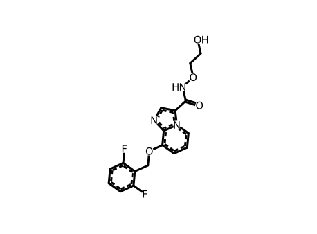 O=C(NOCCO)c1cnc2c(OCc3c(F)cccc3F)cccn12